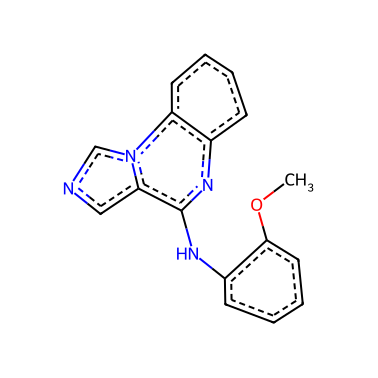 COc1ccccc1Nc1nc2ccccc2n2cncc12